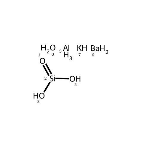 O.O=[Si](O)O.[AlH3].[BaH2].[KH]